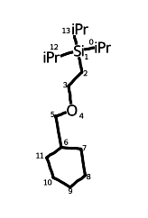 CC(C)[Si](CCOCC1CCCCC1)(C(C)C)C(C)C